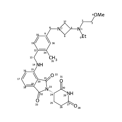 CCN(CCOC)C1CN(Cc2ccc(CNc3cccc4c3C(=O)N([C@H]3CCC(=O)NC3=O)C4=O)c(C)c2)C1